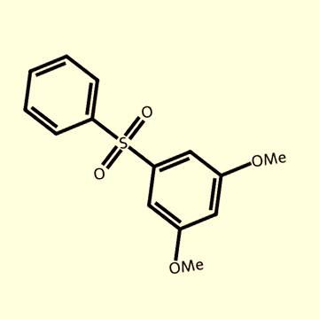 COc1cc(OC)cc(S(=O)(=O)c2ccccc2)c1